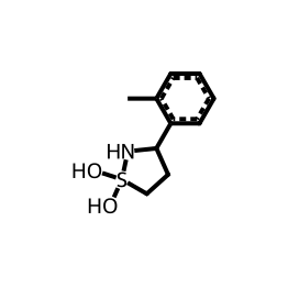 Cc1ccccc1C1CCS(O)(O)N1